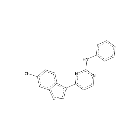 Clc1ccc2c(ccn2-c2ccnc(Nc3ccccc3)n2)c1